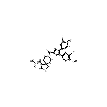 COc1ccc(-c2sc(C(=O)N3CCC4(CC3)COCC4N[S+]([O-])C(C)(C)C)cc2-c2ccc(C#N)c(F)c2)cc1F